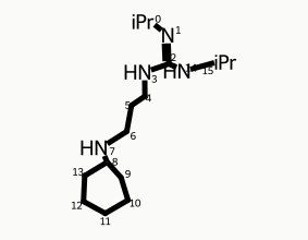 CC(C)/N=C(\NCCCNC1CCCCC1)NC(C)C